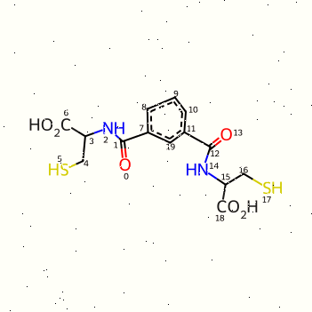 O=C(NC(CS)C(=O)O)c1cccc(C(=O)NC(CS)C(=O)O)c1